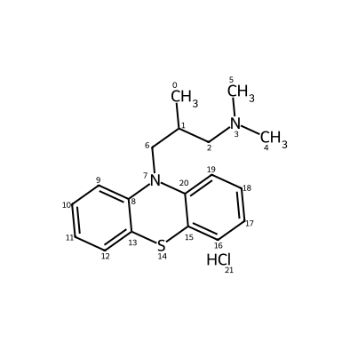 CC(CN(C)C)CN1c2ccccc2Sc2ccccc21.Cl